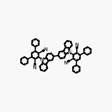 N#Cc1c(-c2ccccc2)cc(-c2ccccc2)c(C#N)c1-n1c2ccccc2c2cc(-c3ccc4c(c3)c3ccccc3n4-c3c(C#N)c(-c4ccccc4)cc(-c4ccccc4)c3C#N)ccc21